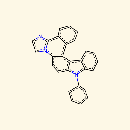 c1ccc(-n2c3ccccc3c3c4c5ccccc5c5nccn5c4ccc32)cc1